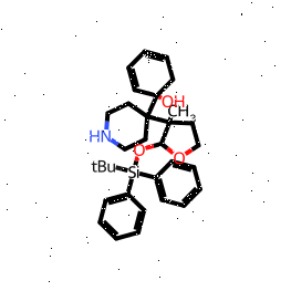 CC1(C2(C3(O)C=CC=CC3)CCNCC2)CCOC1O[Si](c1ccccc1)(c1ccccc1)C(C)(C)C